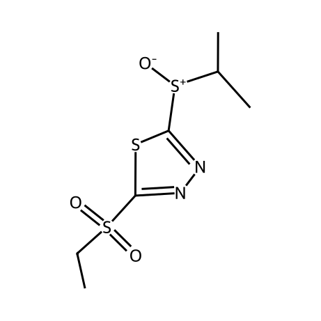 CCS(=O)(=O)c1nnc([S+]([O-])C(C)C)s1